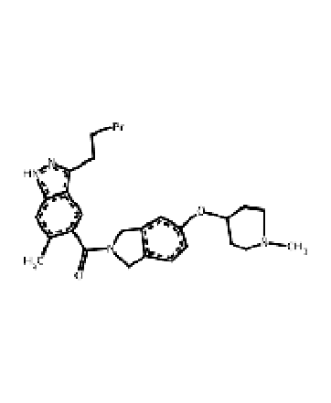 Cc1cc2[nH]nc(CCC(C)C)c2cc1C(=O)N1Cc2ccc(OC3CCN(C)CC3)cc2C1